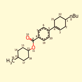 CCCCC1CC=C(c2ccc(C(=O)OC3CCC(C)CC3)cc2)CC1